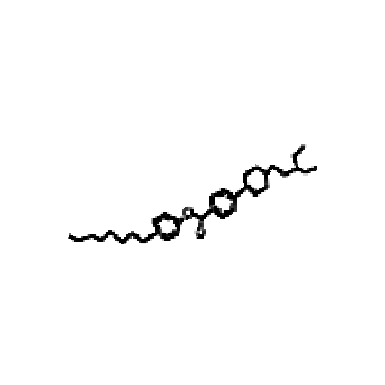 CCCCCCCCc1ccc(OC(=O)c2ccc(C3=CCC(CCC(CC)CC)CC3)cc2)cc1